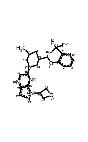 CC1CC(COc2cccnc2C(F)(F)F)CN(c2cnc3cnn(C4COC4)c3n2)C1